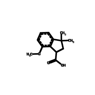 COc1cccc2c1C(C(=O)O)CC2(C)C